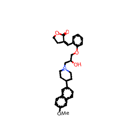 COc1ccc2cc(C3CCN(CC(O)COc4ccccc4C=C4CCOC4=O)CC3)ccc2c1